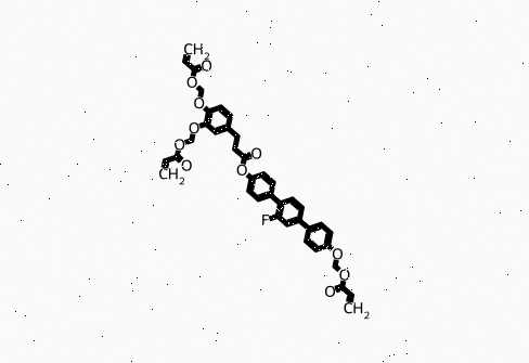 C=CC(=O)OCOc1ccc(-c2ccc(-c3ccc(OC(=O)CCc4ccc(OCOC(=O)C=C)c(OCOC(=O)C=C)c4)cc3)c(F)c2)cc1